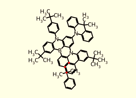 CC(C)(C)c1ccc(N2c3ccc(C(C)(C)C)cc3B3c4ccc(C(C)(C)c5ccccc5)cc4N(c4ccc(C(C)(C)C)cc4-c4ccccc4)c4cc(N5c6ccccc6C(C)(C)c6ccccc65)cc2c43)cc1